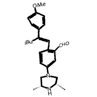 CCC(C)/C(=C\c1ccc(N2C[C@@H](C)N[C@@H](C)C2)cc1C=O)c1ccc(OC)cc1